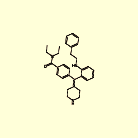 CCN(CC)C(=O)c1ccc(C(=C2CCNCC2)c2ccccc2NCCc2ccccc2)cc1